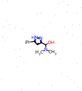 CC(C)c1cc(C(O)N(C)C)n[nH]1